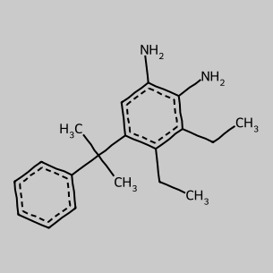 CCc1c(C(C)(C)c2ccccc2)cc(N)c(N)c1CC